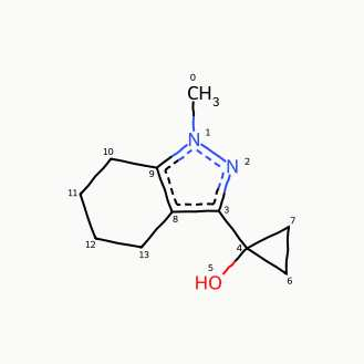 Cn1nc(C2(O)CC2)c2c1CCCC2